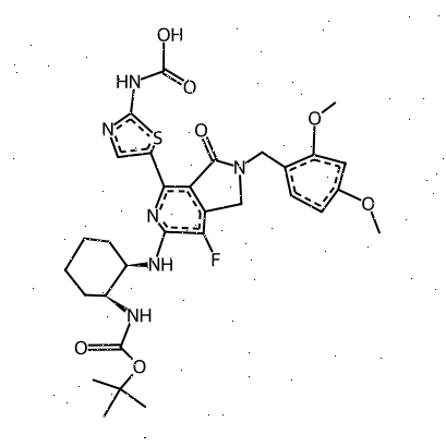 COc1ccc(CN2Cc3c(F)c(N[C@@H]4CCCC[C@@H]4NC(=O)OC(C)(C)C)nc(-c4cnc(NC(=O)O)s4)c3C2=O)c(OC)c1